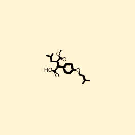 COC(=O)C(CC(C)C)=C(C(=O)O)c1ccc(OCC=C(C)C)cc1